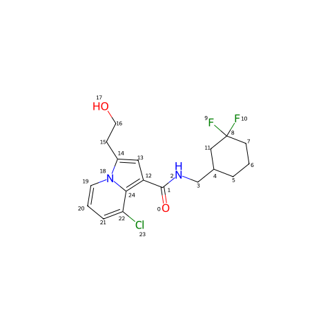 O=C(NCC1CCCC(F)(F)C1)c1cc(CCO)n2cccc(Cl)c12